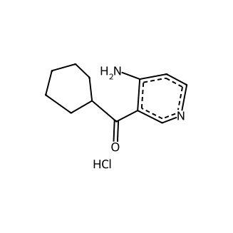 Cl.Nc1ccncc1C(=O)C1CCCCC1